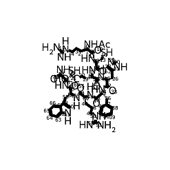 CC(=O)N[C@@H](CCCNC(=N)N)C(=O)N[C@@H](CS)C(=O)N[C@@H](CCC(=O)O)C(=O)N[C@@H](Cc1cnc[nH]1)C(=O)N[C@H](Cc1ccccc1)C(=O)N[C@@H](CCCNC(=N)N)C(=O)N[C@@H](Cc1c[nH]c2ccccc12)C(=O)N[C@@H](CS)C(N)=O